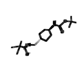 CC(C)(C)OC(=O)N[C@H]1CC[C@H](CN[S+]([O-])C(C)(C)C)CC1